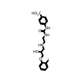 O=C(NCCNCC(O)COc1ccccc1I)Nc1ccc(C(=O)O)cc1